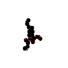 c1ccc2c(c1)-c1ccccc1C21c2cc(-c3nc(-n4c5ccccc5c5cc(-c6ccc7sc8ccccc8c7c6)ccc54)nc(-n4c5ccccc5c5cc(-c6ccc7sc8ccccc8c7c6)ccc54)n3)ccc2-c2ccc(-n3c4ccccc4c4cc(-c5ccc6sc7ccccc7c6c5)ccc43)cc21